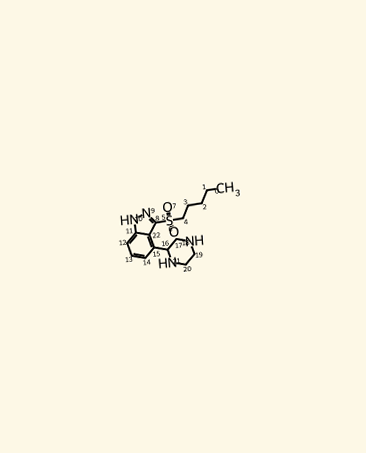 CCCCCS(=O)(=O)c1n[nH]c2cccc(C3CNCCN3)c12